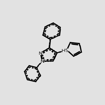 C1=C[SH](c2cn(-c3ccccc3)nc2-c2ccccc2)C=C1